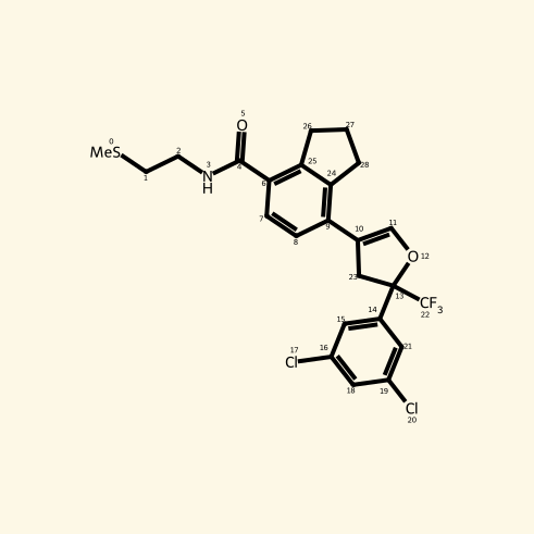 CSCCNC(=O)c1ccc(C2=COC(c3cc(Cl)cc(Cl)c3)(C(F)(F)F)C2)c2c1CCC2